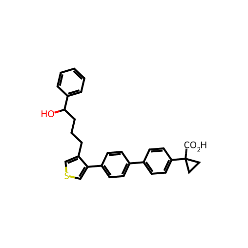 O=C(O)C1(c2ccc(-c3ccc(-c4cscc4CCCC(O)c4ccccc4)cc3)cc2)CC1